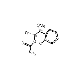 CO[C@H](c1ccccc1Cl)[C@H](OC(N)=O)C(C)C